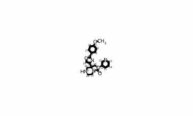 COc1ccc(-c2nc(C3(COc4cccnc4)CNCCN3C=O)co2)cc1